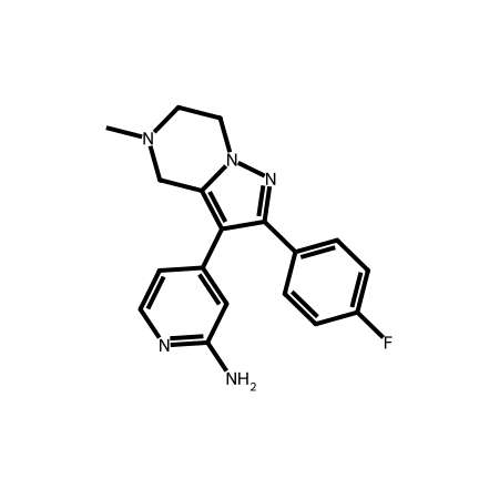 CN1CCn2nc(-c3ccc(F)cc3)c(-c3ccnc(N)c3)c2C1